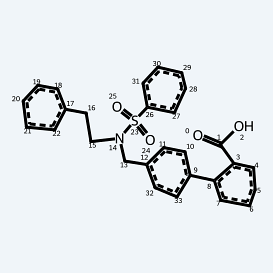 O=C(O)c1ccccc1-c1ccc(CN(CCc2ccccc2)S(=O)(=O)c2ccccc2)cc1